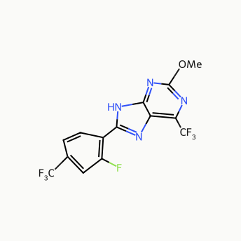 COc1nc(C(F)(F)F)c2nc(-c3ccc(C(F)(F)F)cc3F)[nH]c2n1